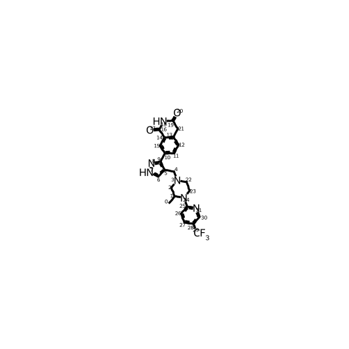 CC1CN(Cc2c[nH]nc2-c2ccc3c(c2)C(=O)NC(=O)C3)CCN1c1ccc(C(F)(F)F)cn1